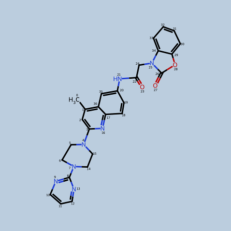 Cc1cc(N2CCN(c3ncccn3)CC2)nc2ccc(NC(=O)Cn3c(=O)oc4ccccc43)cc12